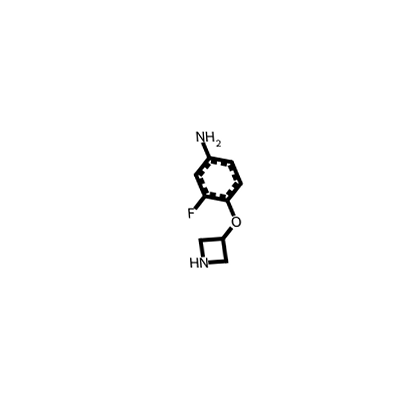 Nc1ccc(OC2CNC2)c(F)c1